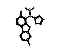 Cc1ccc2c(c1)Cc1c-2ccc(C)[c]1[Zr]([C]1=CC=CC1)=[Si](C)C